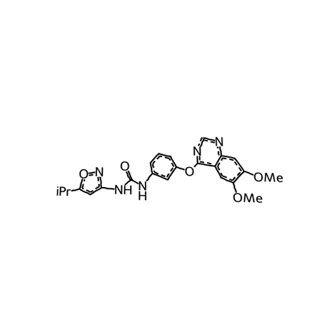 COc1cc2ncnc(Oc3cccc(NC(=O)Nc4cc(C(C)C)on4)c3)c2cc1OC